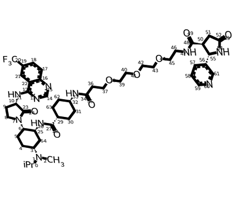 CC(C)N(C)[C@@H]1CC[C@H](N2CC[C@H](Nc3ncnc4ccc(C(F)(F)F)cc34)C2=O)[C@H](NC(=O)[C@H]2CC[C@@H](NC(=O)CCOCCOCCOCCNC(=O)[C@H]3CC(=O)N[C@@H]3c3cccnc3)CC2)C1